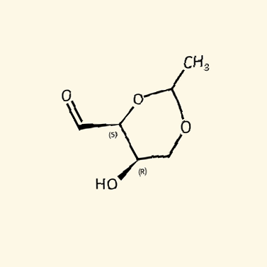 CC1OC[C@@H](O)[C@@H](C=O)O1